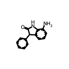 Nc1cccc2c1NC(=O)C2c1ccccc1